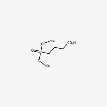 CCCCOP(=O)(CCCC(=O)O)OCCCC